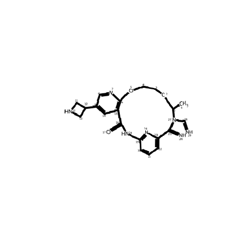 CC1CCCOc2ncc(C3CNC3)cc2C(=O)Nc2cccc(n2)C(=N)N1C=N